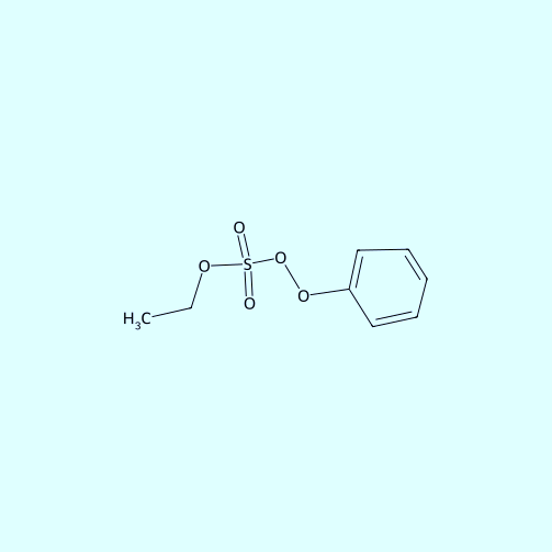 CCOS(=O)(=O)OOc1ccccc1